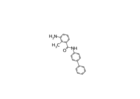 Cc1c(N)cccc1C(=O)Nc1ccc(-c2ccccc2)cc1